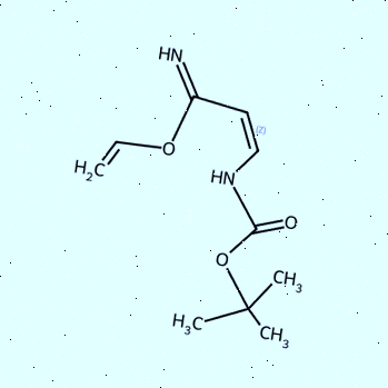 C=COC(=N)/C=C\NC(=O)OC(C)(C)C